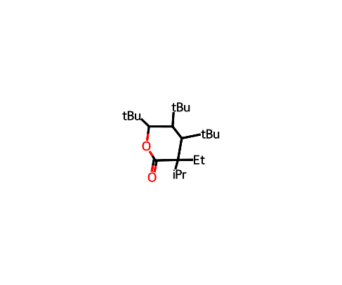 CCC1(C(C)C)C(=O)OC(C(C)(C)C)C(C(C)(C)C)C1C(C)(C)C